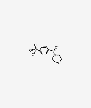 O=S(=O)(Cl)c1ccc([S+]([O-])N2CCOCC2)cc1